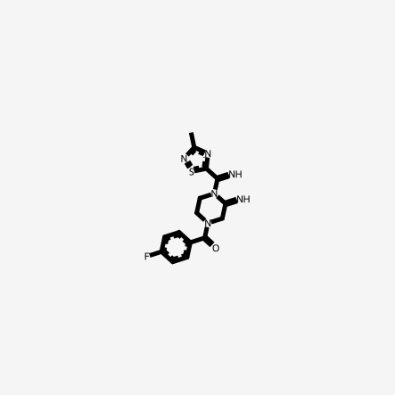 Cc1nsc(C(=N)N2CCN(C(=O)c3ccc(F)cc3)CC2=N)n1